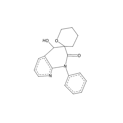 O=C1N(c2ccccc2)c2ncccc2C(O)C12CCCCO2